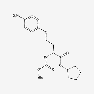 CC(C)(C)OC(=O)N[C@@H](CCOc1ccc([N+](=O)[O-])cc1)C(=O)OC1CCCC1